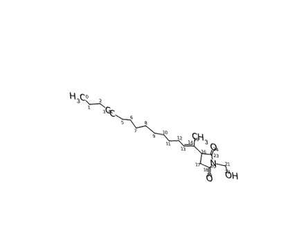 CCCCCCCCCCCCCC=C(C)C1CC(=O)N(CO)C1=O